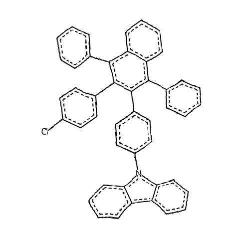 Clc1ccc(-c2c(-c3ccc(-n4c5ccccc5c5ccccc54)cc3)c(-c3ccccc3)c3ccccc3c2-c2ccccc2)cc1